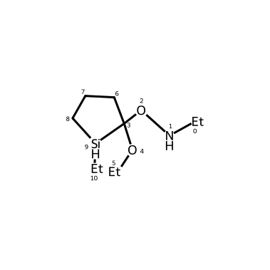 CCNOC1(OCC)CCC[SiH]1CC